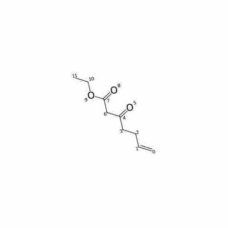 C=CCCC(=O)CC(=O)OCC